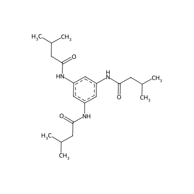 CC(C)CC(=O)Nc1cc(NC(=O)CC(C)C)cc(NC(=O)CC(C)C)c1